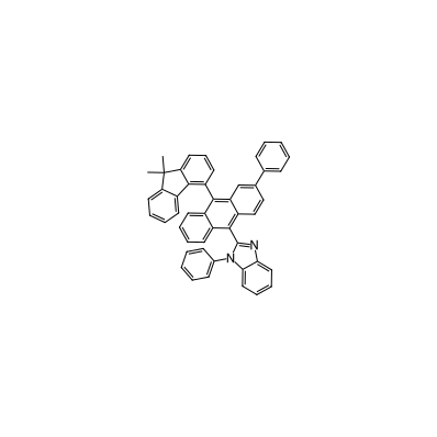 CC1(C)c2ccccc2-c2c(-c3c4ccccc4c(-c4nc5ccccc5n4-c4ccccc4)c4ccc(-c5ccccc5)cc34)cccc21